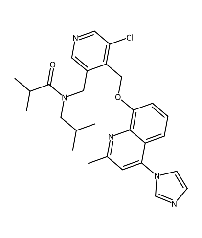 Cc1cc(-n2ccnc2)c2cccc(OCc3c(Cl)cncc3CN(CC(C)C)C(=O)C(C)C)c2n1